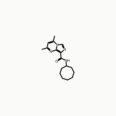 Cc1cc(C)n2cnc(C(=O)NC3CCCCCCC3)c2n1